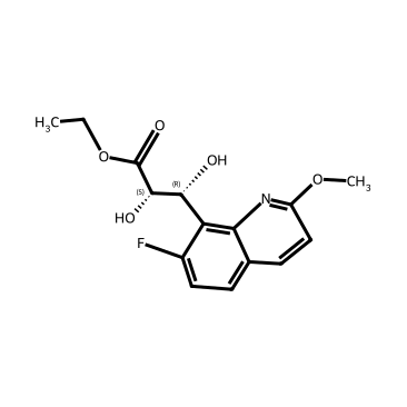 CCOC(=O)[C@@H](O)[C@H](O)c1c(F)ccc2ccc(OC)nc12